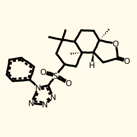 CC1(C)CC(S(=O)(=O)c2nnnn2-c2ccccc2)C[C@@]2(C)C1CC[C@@]1(C)OC(=O)C[C@@H]12